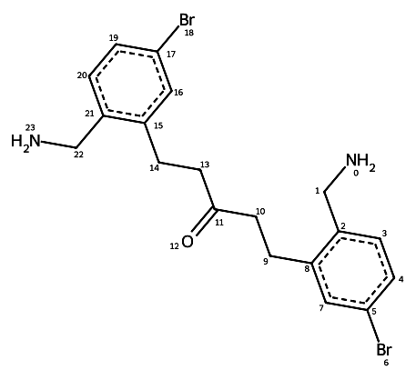 NCc1ccc(Br)cc1CCC(=O)CCc1cc(Br)ccc1CN